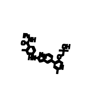 Cc1cc(-c2ccn3nc(Nc4ccc(C(=O)NC(C)C)c(C)c4)cc3c2)c(OCC(C)(C)O)cn1